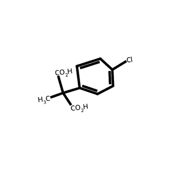 CC(C(=O)O)(C(=O)O)c1ccc(Cl)cc1